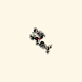 CC(C)OC(=O)c1cc(-c2nn(C)c(C(F)(F)F)c2Br)c(F)cc1Cl.COc1cc(OC)nc(NC(=O)NS(=O)(=O)c2ncccc2C(=O)N(C)C)n1.O=C(Nc1nc(OC(F)F)cc(OC(F)F)n1)NS(=O)(=O)c1ccccc1C(=O)O